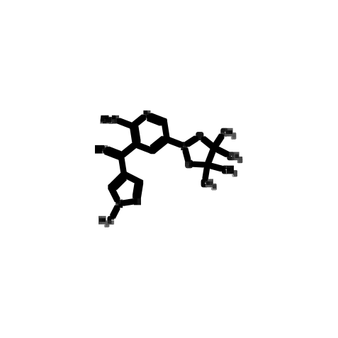 CNc1ncc(B2OC(C)(C)C(C)(C)O2)cc1C(=N)c1cnn(C)c1